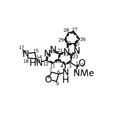 CNC(=O)c1c(NC2COC2)c2cc(NC3CN(C)C3)nnc2n2c1nc1ccccc12